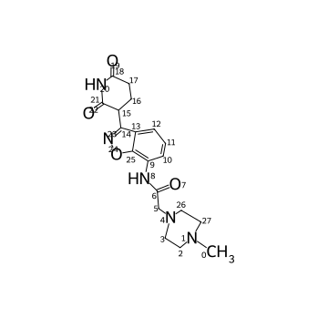 CN1CCN(CC(=O)Nc2cccc3c(C4CCC(=O)NC4=O)noc23)CC1